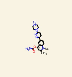 CC(=O)N1c2ccc(-c3ccc(N4CCNCC4)nn3)cc2[C@H](OC(N)=O)C[C@@H]1C